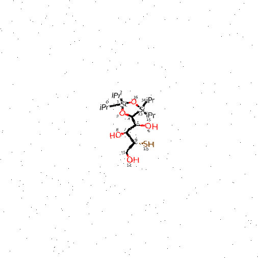 CC(C)[Si]1(C(C)C)OC([C@@H](O)[C@H](O)[C@H](S)CO)[Si](C(C)C)(C(C)C)O1